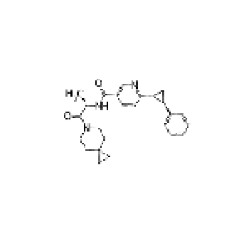 C[C@@H](NC(=O)c1ccc(C2C[C@H]2c2ccccc2)nc1)C(=O)N1CCC2(CC1)CC2